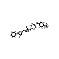 Cc1cc(CNC(=O)CN2CCN(Cc3ccc(C(F)(F)F)cc3)CC2)nn1-c1ccccc1